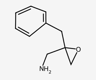 NCC1(Cc2ccccc2)CO1